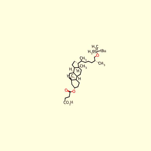 C[C@H](CCC[C@H](C)[C@H]1CC[C@@H]2[C@@H]3CC=C4C[C@@H](OC(=O)CCC(=O)O)CC[C@]4(C)[C@@H]3CC[C@@]21C)CO[Si](C)(C)C(C)(C)C